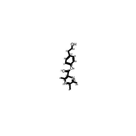 Cc1nc(C)c(C(=O)Oc2ccc(CCO)cc2)nc1C